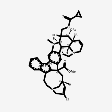 CCC1=C[C@@H]2CN(CCc3c([nH]c4ccccc34)[C@@](C(=O)OC)(c3cc4c(cc3OC)N(C)[C@H]3C(O)(COC(=O)C5CC5)[C@H](OC(C)=O)[C@]5(CC)C=CCN6CC[C@]43[C@@H]65)C2)C1